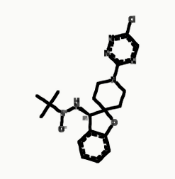 CC(C)(C)[S+]([O-])N[C@@H]1c2ccccc2OC12CCN(c1ncc(Cl)nn1)CC2